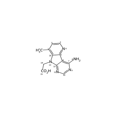 Cc1ccnc2c3c(N)ncnc3n(CC(=O)O)c12